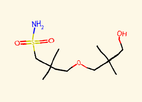 CC(C)(CO)COCC(C)(C)CS(N)(=O)=O